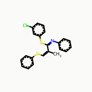 CC(=CSc1ccccc1)C(=Nc1ccccc1)Sc1cccc(Cl)c1